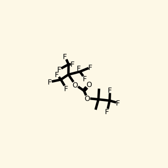 CC(C)(OC(=O)OC(C(F)(F)F)(C(F)(F)F)C(F)(F)F)C(F)(F)F